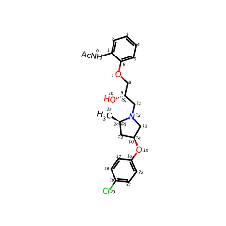 CC(=O)Nc1ccccc1OC[C@@H](O)CN1C[C@@H](Oc2ccc(Cl)cc2)C[C@H]1C